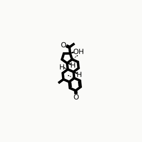 CC(=O)[C@@]1(O)CC[C@H]2[C@@H]3CC(C)C4=CC(=O)C=C[C@]4(C)[C@H]3CC[C@@]21C